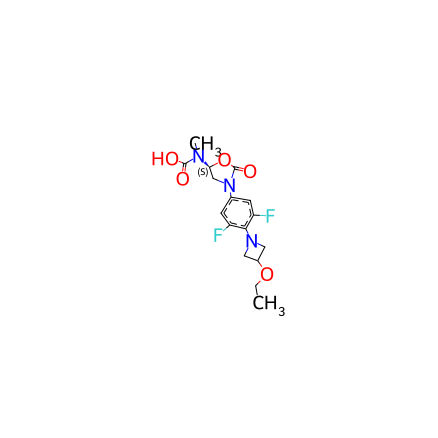 CCOC1CN(c2c(F)cc(N3C[C@@H](N(C)C(=O)O)OC3=O)cc2F)C1